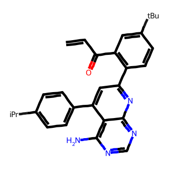 C=CC(=O)c1cc(C(C)(C)C)ccc1-c1cc(-c2ccc(C(C)C)cc2)c2c(N)ncnc2n1